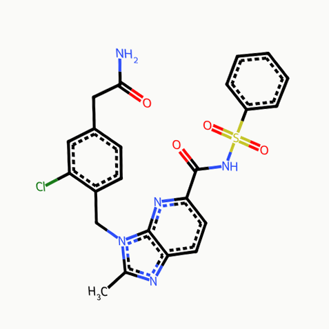 Cc1nc2ccc(C(=O)NS(=O)(=O)c3ccccc3)nc2n1Cc1ccc(CC(N)=O)cc1Cl